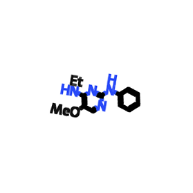 CCNc1nc(Nc2ccccc2)ncc1OC